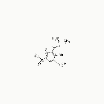 CC(N)COc1c(Br)c(F)cc(C(=O)O)c1I.Cl